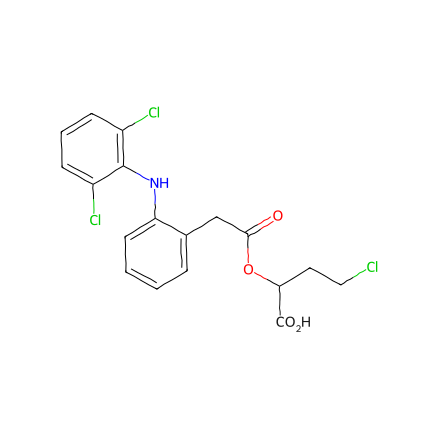 O=C(Cc1ccccc1Nc1c(Cl)cccc1Cl)OC(CCCl)C(=O)O